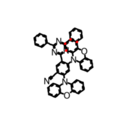 N#Cc1cc(-c2nc(-c3ccccc3)nc(-c3ccccc3)n2)c(N2c3ccccc3Oc3ccccc32)cc1N1c2ccccc2Oc2ccccc21